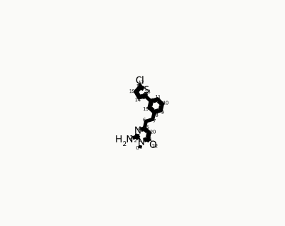 Cn1c(N)nc(CCc2cccc(-c3ccc(Cl)s3)c2)cc1=O